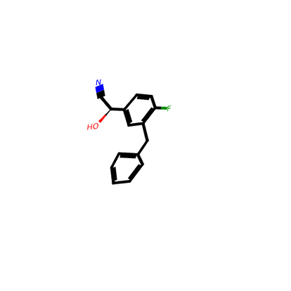 N#C[C@H](O)c1ccc(F)c(Cc2ccccc2)c1